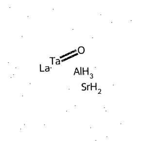 [AlH3].[La].[O]=[Ta].[SrH2]